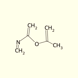 C=NC(=C)OC(=C)C